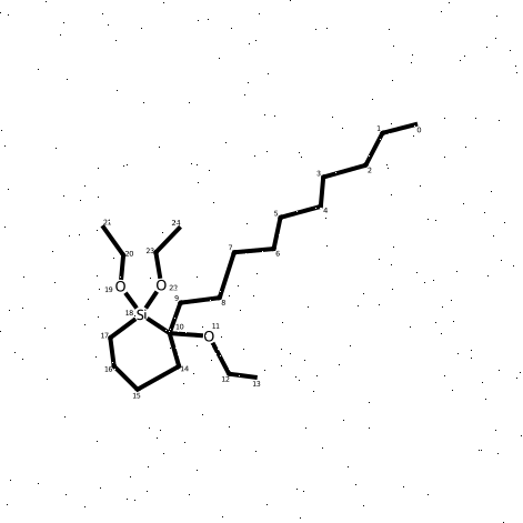 CCCCCCCCCCC1(OCC)CCCC[Si]1(OCC)OCC